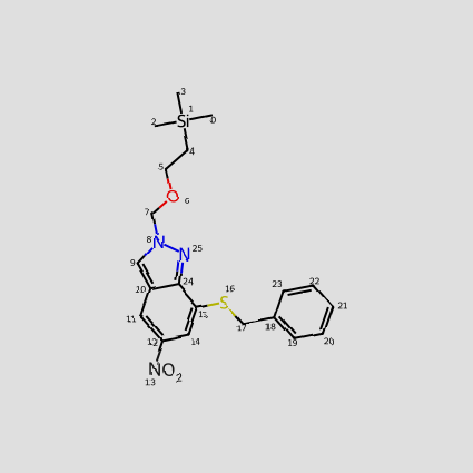 C[Si](C)(C)CCOCn1cc2cc([N+](=O)[O-])cc(SCc3ccccc3)c2n1